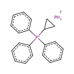 P.[I-].c1ccc([P+](c2ccccc2)(c2ccccc2)C2CC2)cc1